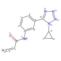 C=CC(=O)Nc1cccc(-c2nnnn2C2CC2)c1